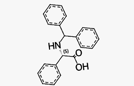 O=C(O)[C@@H](NC(c1ccccc1)c1ccccc1)c1ccccc1